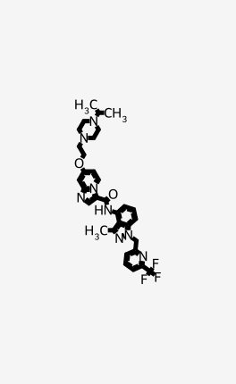 Cc1nn(Cc2cccc(C(F)(F)F)n2)c2cccc(NC(=O)c3cnc4cc(OCCN5CCN(C(C)C)CC5)ccn34)c12